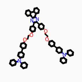 c1ccc(N(c2ccccc2)c2ccc(-c3ccc(OCCOc4ccc(-c5nc6c7ccccc7c7ccccc7c6nc5-c5ccc(OCCOc6ccc(-c7ccc(N(c8ccccc8)c8ccccc8)cc7)cc6)cc5)cc4)cc3)cc2)cc1